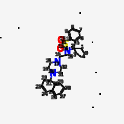 CCC1(CC)c2ccccc2S(=O)(=O)N1CCN1CCN(c2cccc3ccccc23)CC1